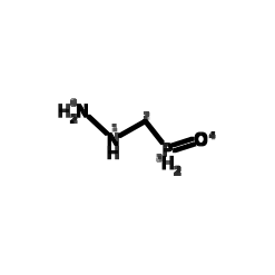 NNC[PH2]=O